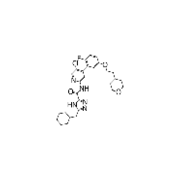 O=C(Nc1cc(-c2cc(OCCC3CCOCC3)ccc2F)c(Cl)cn1)c1nnc(CC2CCCCC2)[nH]1